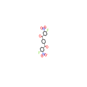 O=C(c1ccc(C(=O)c2ccc(F)c([N+](=O)[O-])c2)cc1)c1ccc(F)c([N+](=O)[O-])c1